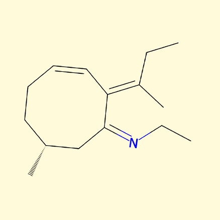 CC/N=C1/C[C@H](C)CC\C=C/C1=C(/C)CC